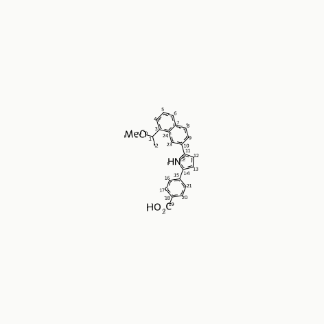 COC(C)c1cccc2ccc(-c3ccc(-c4ccc(C(=O)O)cc4)[nH]3)cc12